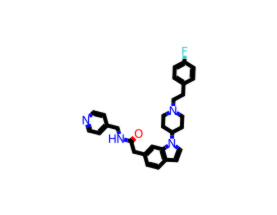 O=C(Cc1ccc2ccn(C3CCN(CCc4ccc(F)cc4)CC3)c2c1)NCc1ccncc1